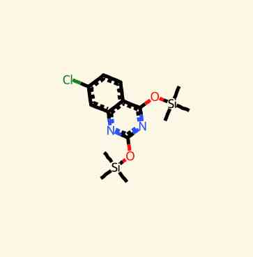 C[Si](C)(C)Oc1nc(O[Si](C)(C)C)c2ccc(Cl)cc2n1